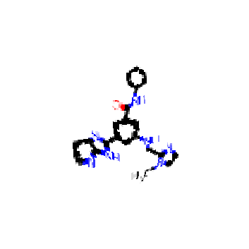 Cn1ccnc1CNc1cc(C(=O)Nc2ccccc2)cc(-c2nc3cccnc3[nH]2)c1